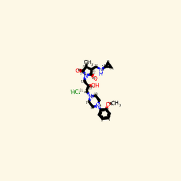 COc1ccccc1N1CCN(CC(O)CN2C(=O)C(C)C(CNC3CC3)C2=O)CC1.Cl